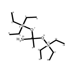 CC[Si](CC)(CC)OC(C)([SiH3])O[Si](CC)(CC)CC